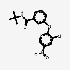 CC(C)(C)NC(=O)c1cccc(Oc2ncc([N+](=O)[O-])cc2Cl)c1